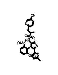 COc1cccc(OC)c1-n1c(NS(=O)(=O)C(C)Cc2ccc(C#N)cn2)nnc1-c1ccc(C)o1